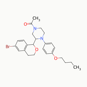 CCCCOc1ccc(N2CCN(C(C)=O)CC2C2OCCc3cc(Br)ccc32)cc1